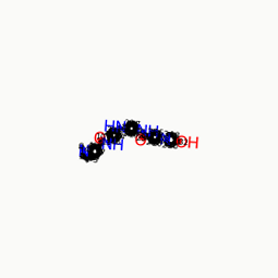 CN1C=CC2(C)CC=C(C(=O)Nc3ccc(Nc4ccc(NC(=O)c5ccc(N6CCC(O)CC6)cc5)cc4)cc3)C=C12